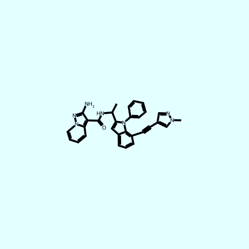 CC(NC(=O)c1c(N)nn2ccccc12)c1cc2cccc(C#Cc3cnn(C)c3)c2n1-c1ccccc1